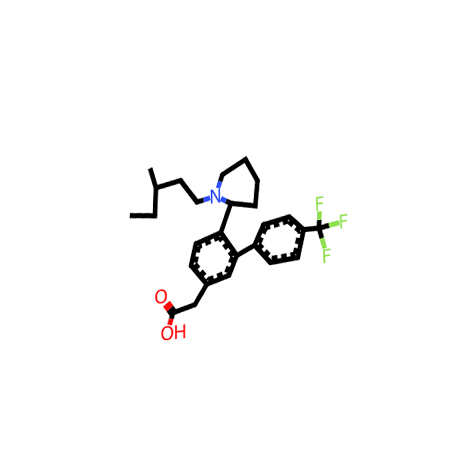 CCC(C)CCN1CCCCC1c1ccc(CC(=O)O)cc1-c1ccc(C(F)(F)F)cc1